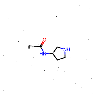 CC(C)C(=O)NC1CCNC1